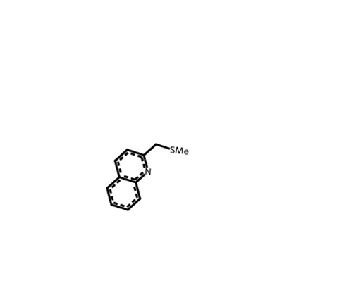 [CH2]SCc1ccc2ccccc2n1